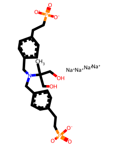 CC(CO)(CO)N(Cc1ccc(CCP(=O)([O-])[O-])cc1)Cc1ccc(CCP(=O)([O-])[O-])cc1.[Na+].[Na+].[Na+].[Na+]